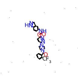 O=C(Nc1ccc2[nH]ncc2c1)Oc1ccc(N2CCN(C(=O)c3ccccc3C(F)(F)F)CC2)nn1